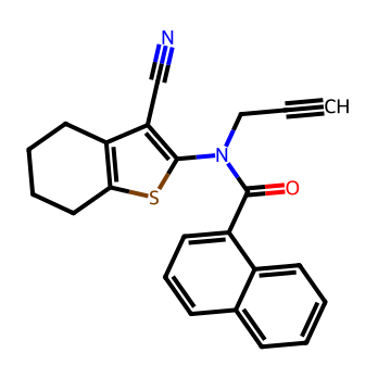 C#CCN(C(=O)c1cccc2ccccc12)c1sc2c(c1C#N)CCCC2